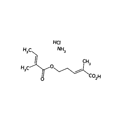 CC=C(C)C(=O)OCCC=C(C)C(=O)O.Cl.N